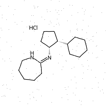 C1CCNC(=N[C@@H]2CCC[C@@H]2C2CCCCC2)CC1.Cl